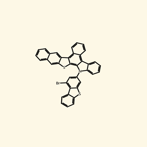 Brc1cc(-n2c3ccccc3c3c4ccccc4c4c5cc6ccccc6cc5sc4c32)cc2sc3ccccc3c12